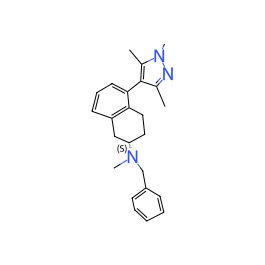 Cc1nn(C)c(C)c1-c1cccc2c1CC[C@H](N(C)Cc1ccccc1)C2